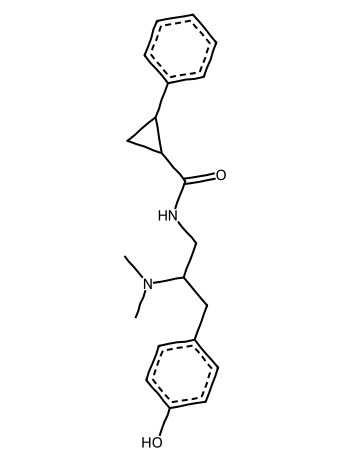 CN(C)C(CNC(=O)C1CC1c1ccccc1)Cc1ccc(O)cc1